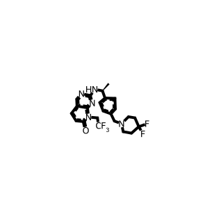 C[C@H](Nc1ncc2ccc(=O)n(CC(F)(F)F)c2n1)c1ccc(CN2CCC(F)(F)CC2)cc1